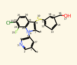 Cc1cncc(-n2c(C)c(Sc3cccc(CO)c3)c3ccc(Cl)c(F)c32)c1